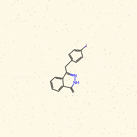 C=C1NN=C(Cc2ccc(I)cc2)c2ccccc21